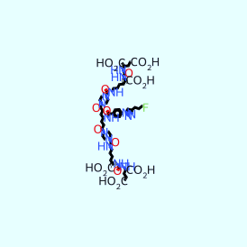 O=C(O)CCC(NC(=O)N[C@@H](CCCCNC(=O)N1CCN(C(=O)CCC(CCC(=O)N2CCN(C(=O)NCCCC[C@H](NC(=O)NC(CCC(=O)O)C(=O)O)C(=O)O)CC2)NC(=O)c2ccc(-n3cc(CCCF)nn3)cc2)CC1)C(=O)O)C(=O)O